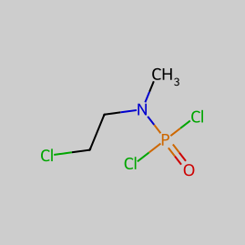 CN(CCCl)P(=O)(Cl)Cl